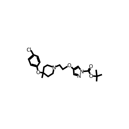 CC(C)(C)OC(=O)n1cc(OCCN2CCC(C)(Oc3ccc(Cl)cc3)CC2)cn1